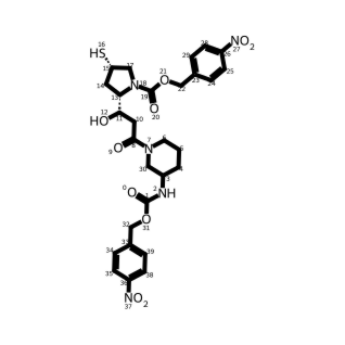 O=C(NC1CCCN(C(=O)CC(O)[C@@H]2C[C@H](S)CN2C(=O)OCc2ccc([N+](=O)[O-])cc2)C1)OCc1ccc([N+](=O)[O-])cc1